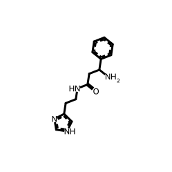 NC(CC(=O)NCCc1c[nH]cn1)c1ccccc1